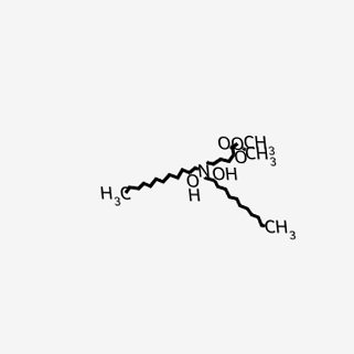 CCCCCCCCCCC(O)CN(CCCCC1OC(C)(C)OC1=O)CC(O)CCCCCCCCCC